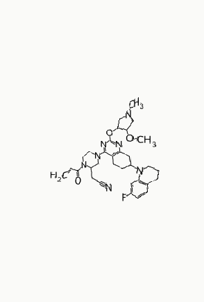 C=CC(=O)N1CCN(c2nc(OC3CN(C)CC3OC)nc3c2CCC(N2CCCc4ccc(F)cc42)C3)CC1CC#N